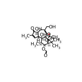 CC(=O)O[C@@]12[C@H](OC=O)[C@@H](C)[C@@]3(O)[C@@H](C=C(CO)C[C@]4(O)C(=O)C(C)=C[C@@H]34)[C@@H]1C2(C)C